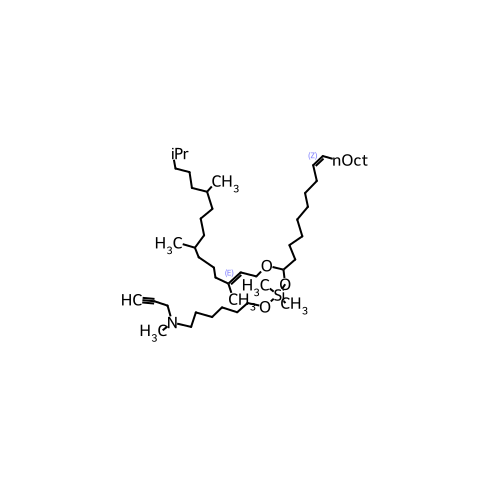 C#CCN(C)CCCCCCO[Si](C)(C)OC(CCCCCCC/C=C\CCCCCCCC)OC/C=C(\C)CCCC(C)CCCC(C)CCCC(C)C